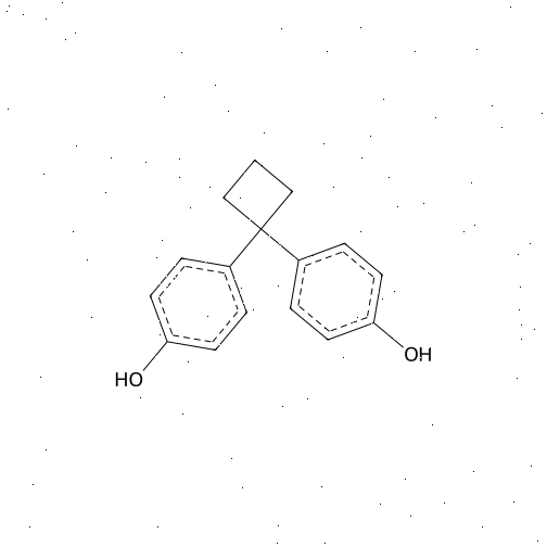 Oc1ccc(C2(c3ccc(O)cc3)CCC2)cc1